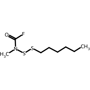 CCCCCCSSN(C)C(=O)F